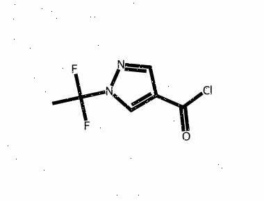 CC(F)(F)n1cc(C(=O)Cl)cn1